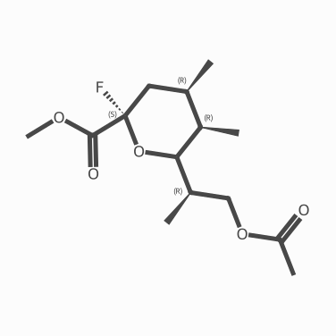 COC(=O)[C@@]1(F)C[C@@H](C)[C@@H](C)C([C@H](C)COC(C)=O)O1